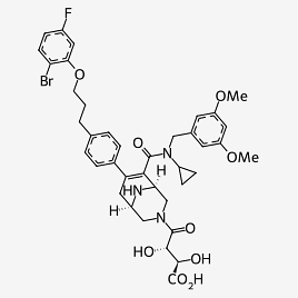 COc1cc(CN(C(=O)C2=C(c3ccc(CCCOc4cc(F)ccc4Br)cc3)C[C@@H]3CN(C(=O)[C@@H](O)[C@@H](O)C(=O)O)C[C@H]2N3)C2CC2)cc(OC)c1